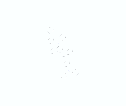 Cc1ccc2c(N(c3ccccc3)c3cccc4c3oc3ccccc34)cc3c4cc(C)cc5c4c(cc3c2c1)-c1ccc(N(c2ccccc2)c2ccccc2)cc1O5